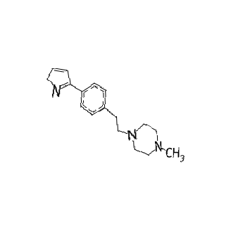 CN1CCN(CCc2ccc(C3=NCC=C3)cc2)CC1